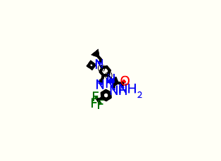 N#CC1C[C@@H](N(CC2CC2)C2CCC2)CC[C@H]1n1cc(C(N)=O)c(Nc2ccc(C(F)(F)F)cc2)n1